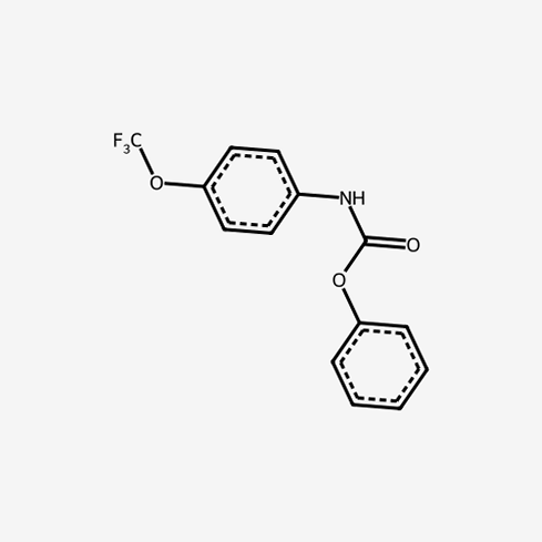 O=C(Nc1ccc(OC(F)(F)F)cc1)Oc1ccccc1